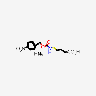 O=C(O)CCCSNC(=O)OCc1ccc([N+](=O)[O-])cc1.[NaH]